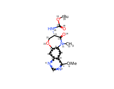 COc1ncnc2cc3c(cc12)N(C)C(=O)[C@@H](NC(=O)OC(C)(C)C)CO3